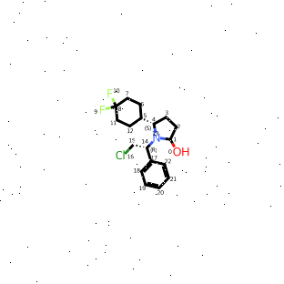 OC1CC[C@@H](C2CCC(F)(F)CC2)N1[C@@H](CCl)c1ccccc1